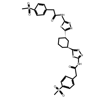 CS(=O)(=O)c1ccc(CC(=O)Nc2nnc([C@H]3CCC[C@H](c4nnc(NC(=O)Cc5ccc(S(C)(=O)=O)cc5)s4)C3)s2)cc1